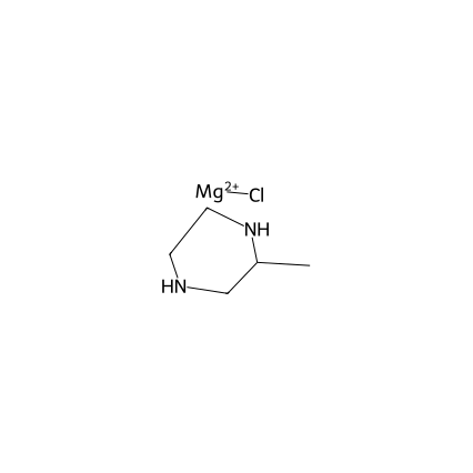 CC1CNCCN1.[Mg+2][Cl]